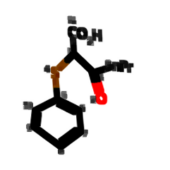 CCCC(=O)C(Sc1ccccc1)C(=O)O